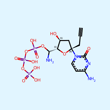 C#CC[C@]1(n2ccc(N)nc2=O)C[C@H](O)[C@@H](C(N)OP(=O)(O)OP(=O)(O)OP(=O)(O)O)O1